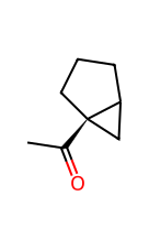 CC(=O)[C@@]12CCCC1C2